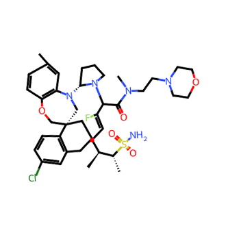 Cc1ccc2c(c1)N([C@@H]1CCCN1C(C(=O)N(C)CCN1CCOCC1)/C(F)=C/C[C@H](C)[C@@H](C)S(N)(=O)=O)C[C@@]1(CCCc3cc(Cl)ccc31)CO2